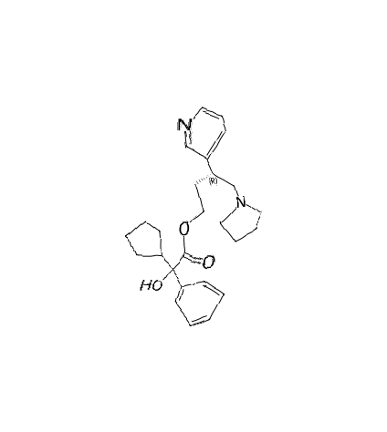 O=C(OCC[C@@H](CN1CCCC1)c1cccnc1)C(O)(c1ccccc1)C1CCCC1